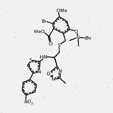 COC(=O)c1c(Br)c(OC)cc(O[Si](C)(C)C(C)(C)C)c1CSCC(Nc1nc(-c2ccc([N+](=O)[O-])cc2)cs1)c1nc(C)no1